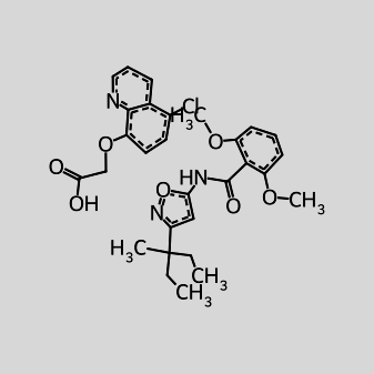 CCC(C)(CC)c1cc(NC(=O)c2c(OC)cccc2OC)on1.O=C(O)COc1ccc(Cl)c2cccnc12